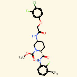 CC(C)(C)OC(=O)N1C[C@@H](NC(=O)COc2ccc(Cl)c(F)c2)CC[C@@H]1C(=O)Nc1cccc(C(F)(F)F)c1F